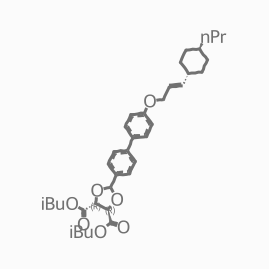 CCC[C@H]1CC[C@H](C=CCOc2ccc(-c3ccc(C4O[C@@H](C(=O)OCC(C)C)[C@H](C(=O)OCC(C)C)O4)cc3)cc2)CC1